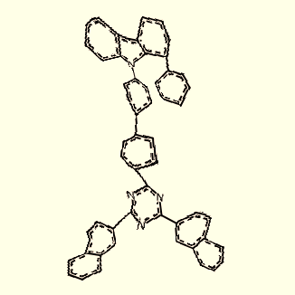 c1ccc(-c2cccc3c4ccccc4n(-c4ccc(-c5ccc(-c6nc(-c7ccc8ccccc8c7)nc(-c7ccc8ccccc8c7)n6)cc5)cc4)c23)cc1